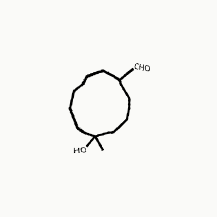 CC1(O)CCCCCC(C=O)CCC1